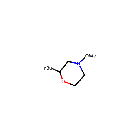 CCCCC1CN(OC)CCO1